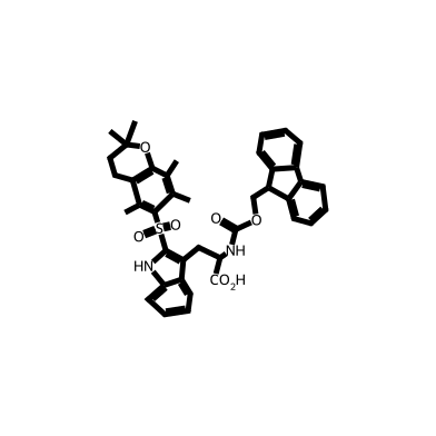 Cc1c(C)c(S(=O)(=O)c2[nH]c3ccccc3c2CC(NC(=O)OCC2c3ccccc3-c3ccccc32)C(=O)O)c(C)c2c1OC(C)(C)CC2